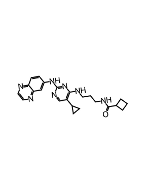 O=C(NCCCNc1nc(Nc2ccc3nccnc3c2)ncc1C1CC1)C1CCC1